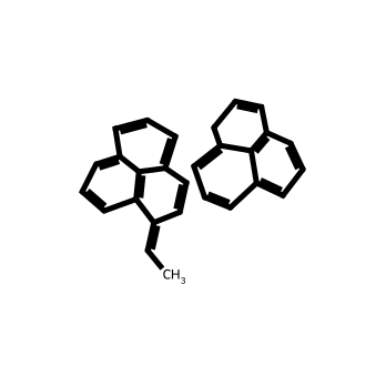 C1=Cc2cccc3cccc(c23)C1.CC=c1ccc2cccc3cccc1c32